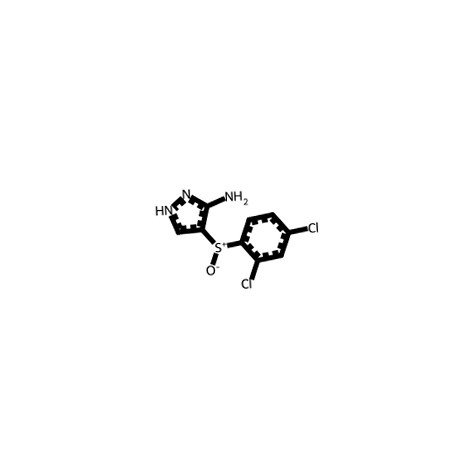 Nc1n[nH]cc1[S+]([O-])c1ccc(Cl)cc1Cl